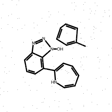 On1nnc2cccc(C3=CC=CC=CN3)c21.[CH2]c1ccccc1